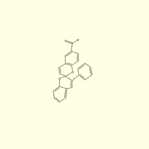 O=[N+]([O-])c1ccc2c(c1)C=CC1(Oc3ccccc3C=C1c1ccccc1)O2